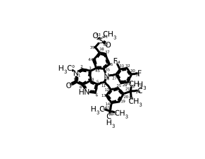 Cn1cc2c3c(c[nH]c3c1=O)C(c1cc(C(C)(C)C)cc(C(C)(C)C)c1)N(c1ccc(F)cc1F)c1ccc(CS(C)(=O)=O)cc1-2